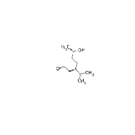 CC(C)[C@@H](CC=O)CC[C@@H](C)O